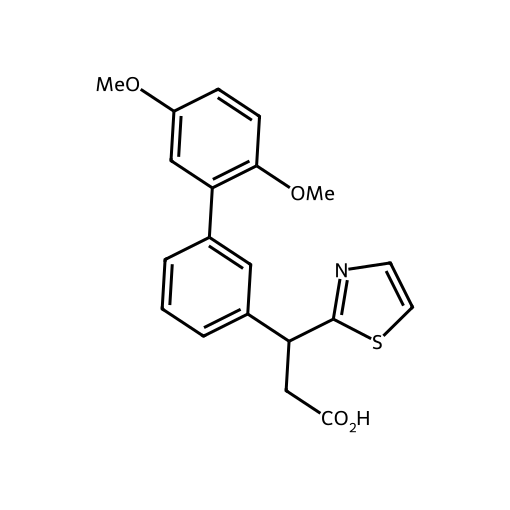 COc1ccc(OC)c(-c2cccc(C(CC(=O)O)c3nccs3)c2)c1